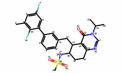 Cc1cc(F)cc(-c2cccc(CC3c4c(ncn(C(C)C)c4=O)CCC3NS(C)(=O)=O)c2)c1F